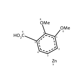 COc1cccc(C(=O)O)c1OC.[Zn]